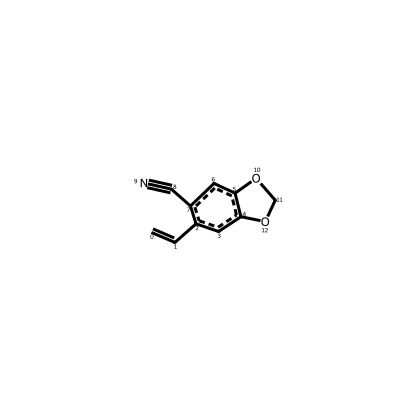 C=Cc1cc2c(cc1C#N)OCO2